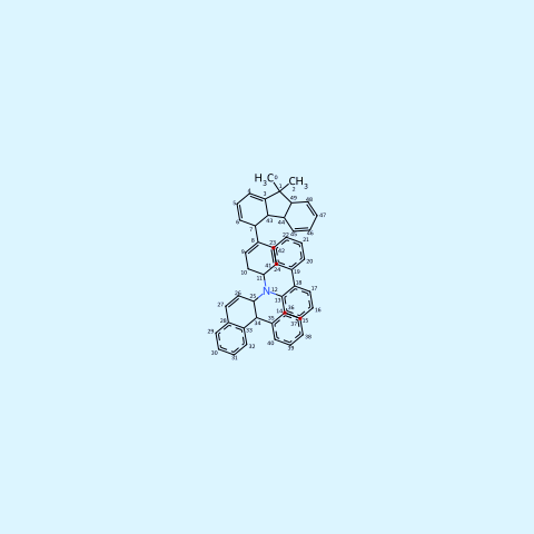 CC1(C)C2=CC=CC(C3=CCC(N(c4ccccc4-c4ccccc4)C4C=Cc5ccccc5C4c4ccccc4)C=C3)C2C2C=CC=CC21